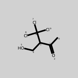 CC(=O)C(CO)C(Cl)(Cl)Cl